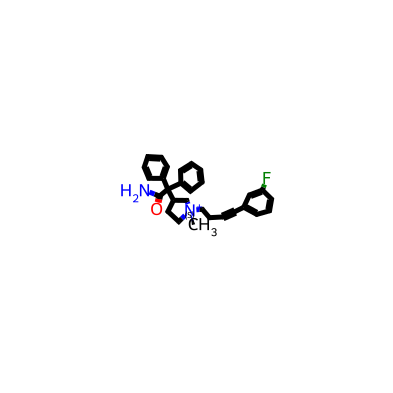 C[N@@+]1(CCC#Cc2cccc(F)c2)CCC(C(C(N)=O)(c2ccccc2)c2ccccc2)C1